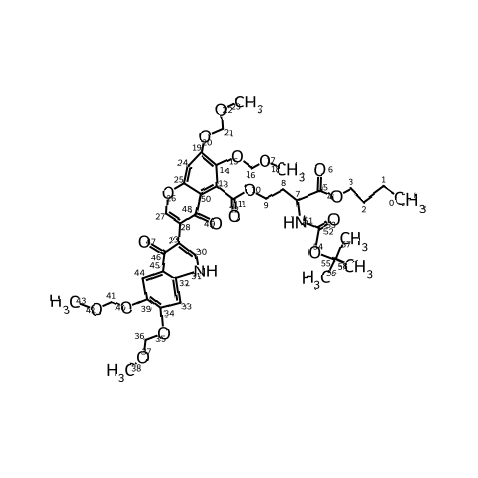 CCCCOC(=O)C(CCOC(=O)c1c(OCOC)c(OCOC)cc2occ(-c3c[nH]c4cc(OCOC)c(OCOC)cc4c3=O)c(=O)c12)NC(=O)OC(C)(C)C